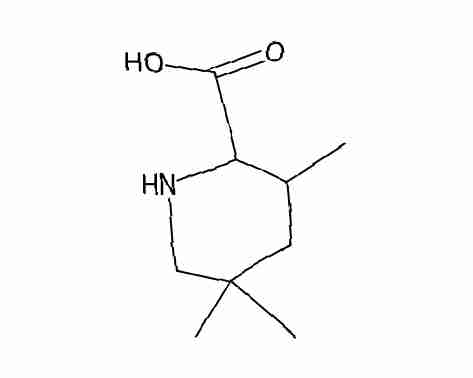 CC1CC(C)(C)CNC1C(=O)O